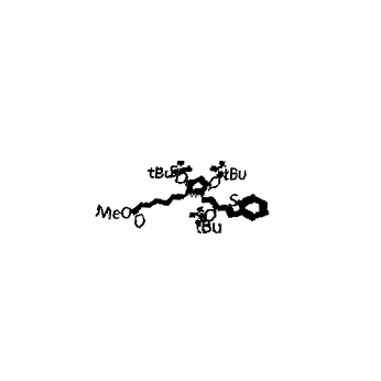 COC(=O)CCCCCC[C@@H]1[C@@H](CCC(O[Si](C)(C)C(C)(C)C)c2cc3ccccc3s2)[C@H](O[Si](C)(C)C(C)(C)C)C[C@@H]1O[Si](C)(C)C(C)(C)C